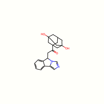 O=C(CC1c2ccccc2-c2cncn21)C12CC3CC(O)(CC(O)(C3)C1)C2